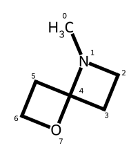 CN1CCC12CCO2